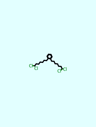 ClC(Cl)CCCCCCc1ccccc1CCCCCCC(Cl)Cl